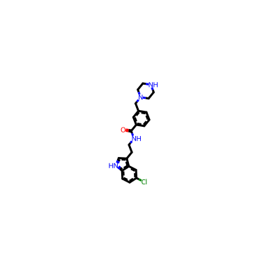 O=C(NCCc1c[nH]c2ccc(Cl)cc12)c1cccc(CN2CCNCC2)c1